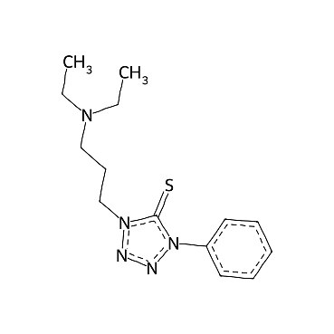 CCN(CC)CCCn1nnn(-c2ccccc2)c1=S